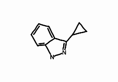 c1ccc2c(c1)[N]N=C2C1CC1